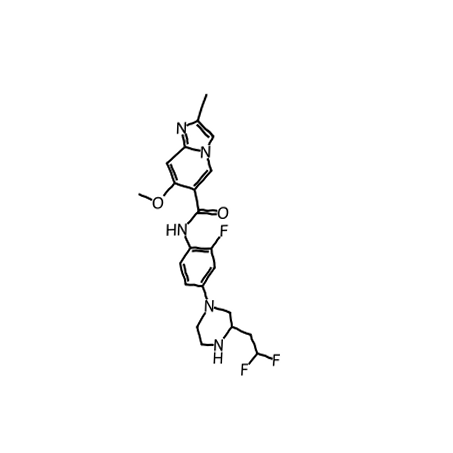 COc1cc2nc(C)cn2cc1C(=O)Nc1ccc(N2CCNC(CC(F)F)C2)cc1F